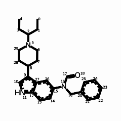 CCC(CC)N1CCC(c2c[nH]c3ccc(N(C=O)Cc4ccccc4)cc23)CC1